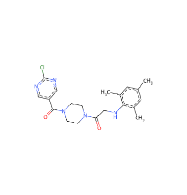 Cc1cc(C)c(NCC(=O)N2CCN(C(=O)c3cnc(Cl)nc3)CC2)c(C)c1